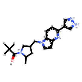 CC1CC(Cn2ccc3nc(-c4cn[nH]c4)ccc32)CN1C(=O)C(C)(C)C